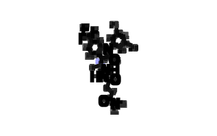 C/C(NNC(=O)CCC(=O)N(C)C)=C1/C(=O)N(c2cc(C)cc(C)c2)c2cc(C(F)(F)F)ccc21